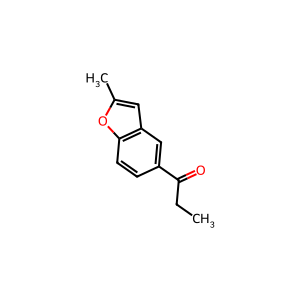 CCC(=O)c1ccc2oc(C)cc2c1